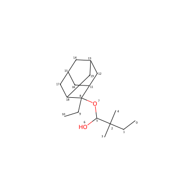 CCC(C)(C)C(O)OC1(CC)C2CC3CC(C2)CC1C3